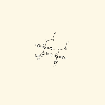 CCCS(=O)(=O)O.CCCS(=O)(=O)[O-].[Na+]